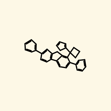 C1=CCC(C2(c3c(-c4ccccc4)ccc4c3Cc3cc(-c5ccccc5)ccc3-4)CCC2)=C1